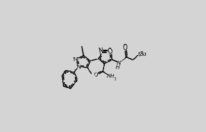 Cc1nn(-c2ccccc2)c(C)c1-c1noc(NC(=O)CC(C)(C)C)c1C(N)=O